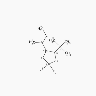 CCC(C)N1CC(F)(F)CC1C(C)(C)C